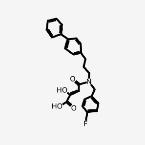 O=C(O)C(O)=CC(=O)N(CCCc1ccc(-c2ccccc2)cc1)Cc1ccc(F)cc1